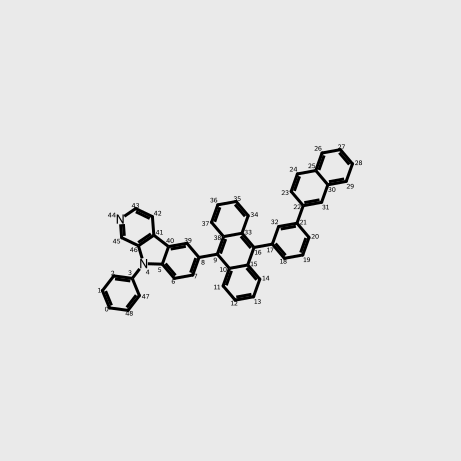 c1ccc(-n2c3ccc(-c4c5ccccc5c(-c5cccc(-c6ccc7ccccc7c6)c5)c5ccccc45)cc3c3ccncc32)cc1